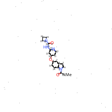 CNC(=O)n1ccc2cc(Oc3ccnc(NC(=O)N4CCC4)c3)ccc21